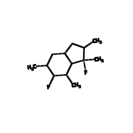 CC1CC2CC(C)C(C)(F)C2C(C)C1F